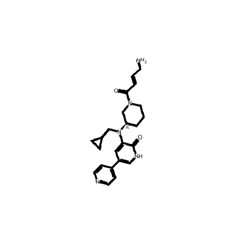 NCC=CC(=O)N1CCC[C@@H](N(CC2CC2)c2cc(-c3ccncc3)c[nH]c2=O)C1